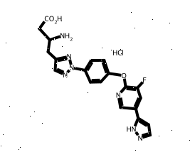 Cl.NC(CC(=O)O)Cc1cnn(-c2ccc(Oc3ncc(-c4ccn[nH]4)cc3F)cc2)n1